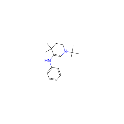 CC1(C)CCN(C(C)(C)C)C=C1Nc1ccccc1